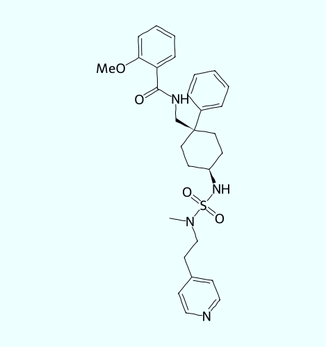 COc1ccccc1C(=O)NC[C@]1(c2ccccc2)CC[C@H](NS(=O)(=O)N(C)CCc2ccncc2)CC1